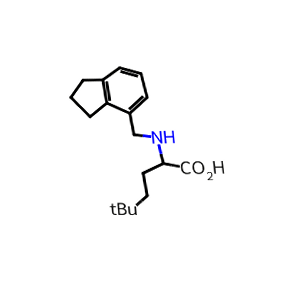 CC(C)(C)CCC(NCc1cccc2c1CCC2)C(=O)O